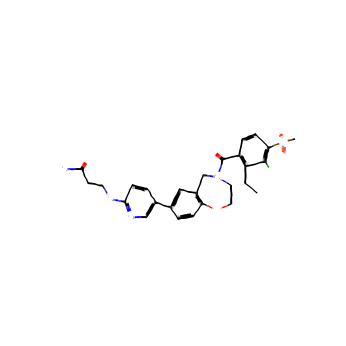 CCc1c(C(=O)N2CCOc3ccc(-c4ccc(NCCC(N)=O)nc4)cc3C2)ccc(S(C)(=O)=O)c1F